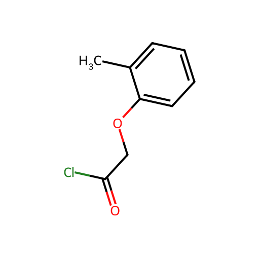 Cc1ccccc1OCC(=O)Cl